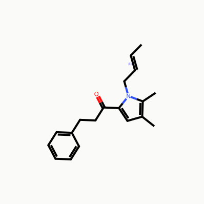 C/C=C/Cn1c(C(=O)CCc2ccccc2)cc(C)c1C